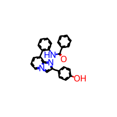 O=C(Nc1ccccc1-c1cccn2cc(-c3ccc(O)cc3)nc12)c1ccccc1